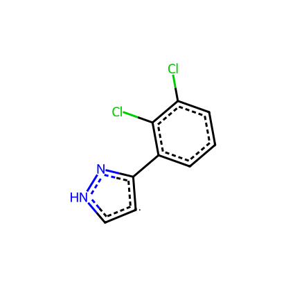 Clc1cccc(-c2[c]c[nH]n2)c1Cl